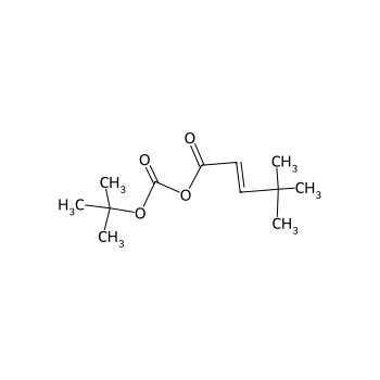 CC(C)(C)/C=C/C(=O)OC(=O)OC(C)(C)C